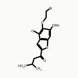 COc1cc2sc(C(=O)CC(C)C(=O)O)cc2c(Cl)c1OCCBr